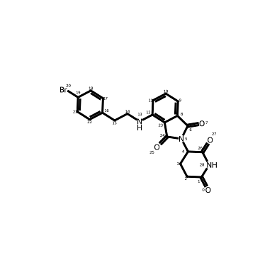 O=C1CCC(N2C(=O)c3cccc(NCCc4ccc(Br)cc4)c3C2=O)C(=O)N1